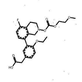 CCOc1ccc(CC(=O)O)cc1-c1ccc(F)c2c1CN(OC(=O)OCCOC)CC2